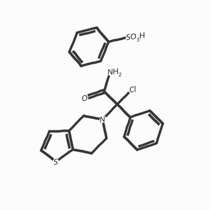 NC(=O)C(Cl)(c1ccccc1)N1CCc2sccc2C1.O=S(=O)(O)c1ccccc1